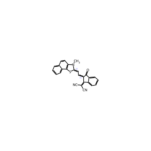 CN1/C(=C/C=C2\C(=O)c3ccccc3C2=C(C#N)C#N)Sc2c1ccc1ccccc21